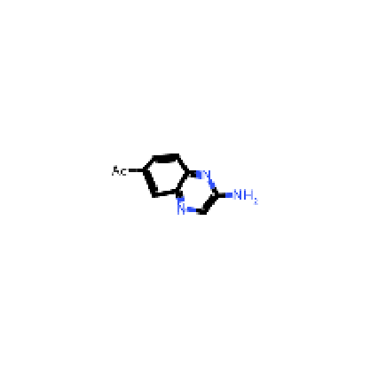 CC(=O)c1ccc2nc(N)cnc2c1